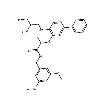 COc1cc(CNC(=O)C(C)Oc2nc(-c3ccccc3)ccc2NCC(N)CS)cc(OC)c1